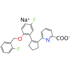 O=C([O-])c1cccc(C2=C(c3cc(F)ccc3OCc3ccccc3F)CCC2)n1.[Na+]